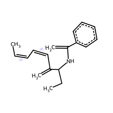 C=C(NC(CC)C(=C)/C=C\C=C/C)c1ccccc1